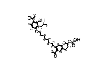 CCCc1c(OCCCCCCCOc2cc3c(cc2C(C)=O)CCC(OC(=O)O)O3)ccc(C(C)=O)c1O